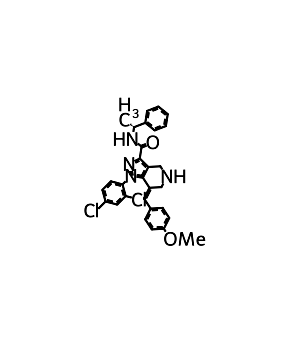 COc1ccc(/C=C2\CNCc3c(C(=O)N[C@H](C)c4ccccc4)nn(-c4ccc(Cl)cc4Cl)c32)cc1